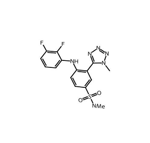 CNS(=O)(=O)c1ccc(Nc2cccc(F)c2F)c(-c2nnnn2C)c1